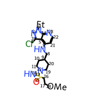 CCn1nc(Cl)c2c(NCC3CCN(S(=N)(=O)CCOC)CC3)ccnc21